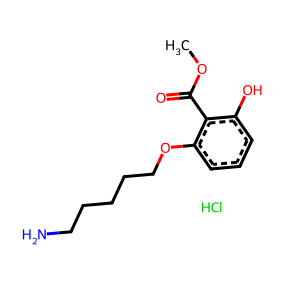 COC(=O)c1c(O)cccc1OCCCCCN.Cl